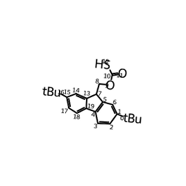 CC(C)(C)c1ccc2c(c1)C(COC(=O)S)c1cc(C(C)(C)C)ccc1-2